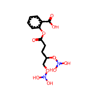 O=C(CCC(CON(O)O)ON(O)O)Oc1ccccc1C(=O)O